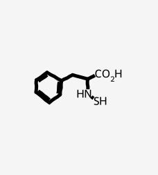 O=C(O)C(Cc1ccccc1)NS